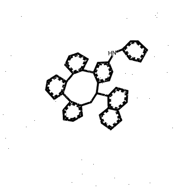 c1ccc(Nc2ccc3c(c2)-c2ccccc2-c2ccccc2-c2ccccc2CC3c2cccc3ccccc23)cc1